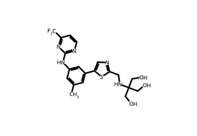 Cc1cc(Nc2nccc(C(F)(F)F)n2)cc(-c2cnc(CNC(CO)(CO)CO)s2)c1